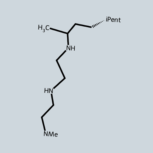 CCC[C@@H](C)CCC(C)NCCNCCNC